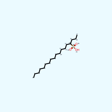 CCCCCCCCCCCCCCC(CCC)S(=O)(=O)O